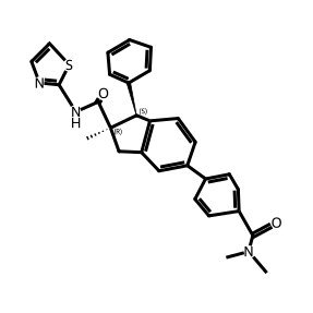 CN(C)C(=O)c1ccc(-c2ccc3c(c2)C[C@@](C)(C(=O)Nc2nccs2)[C@H]3c2ccccc2)cc1